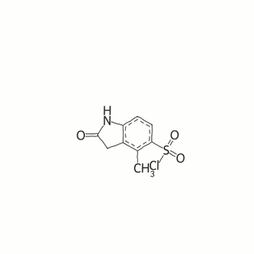 Cc1c(S(=O)(=O)Cl)ccc2c1CC(=O)N2